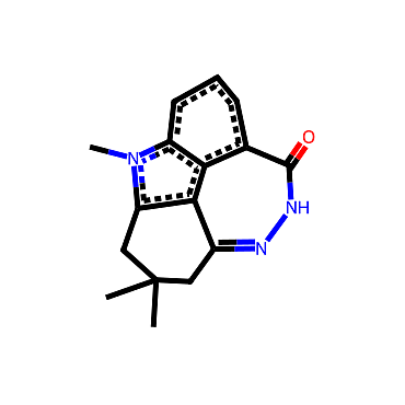 Cn1c2c3c4c(cccc41)C(=O)NN=C3CC(C)(C)C2